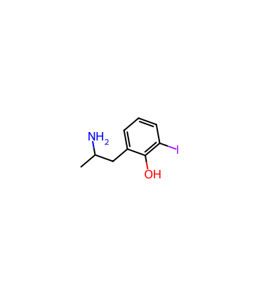 CC(N)Cc1cccc(I)c1O